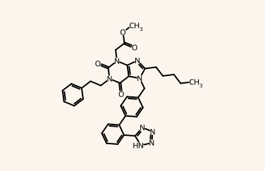 CCCCCc1nc2c(c(=O)n(CCc3ccccc3)c(=O)n2CC(=O)OC)n1Cc1ccc(-c2ccccc2-c2nnn[nH]2)cc1